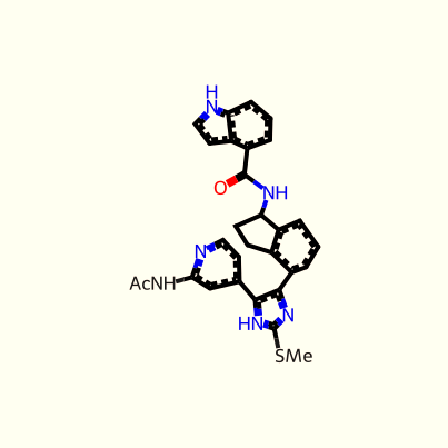 CSc1nc(-c2cccc3c2CCC3NC(=O)c2cccc3[nH]ccc23)c(-c2ccnc(NC(C)=O)c2)[nH]1